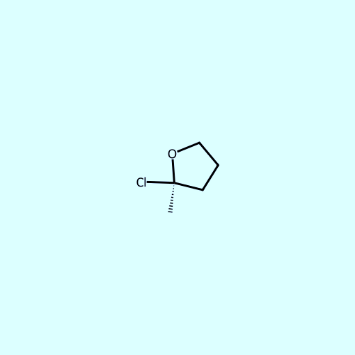 C[C@@]1(Cl)CCCO1